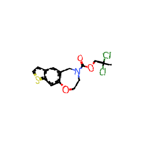 CC(Cl)(Cl)COC(=O)N1CCOc2cc3sccc3cc2C1